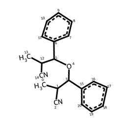 CC(C#N)C(OC(c1ccccc1)C(C)C#N)c1ccccc1